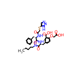 CCCCCNC(=O)[C@H](Cc1ccc(OCC(=O)O)c(C(=O)O)c1)NC(=O)[C@H](Cc1ccccc1)NC(=O)CSc1cnn[nH]1